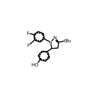 CC(C)(C)C1=NN(c2ccc(F)c(F)c2)C(c2ccc(O)cc2)C1